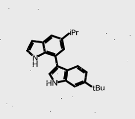 CC(C)c1cc(-c2c[nH]c3cc(C(C)(C)C)ccc23)c2[nH]ccc2c1